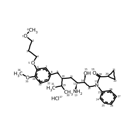 COCCCOc1cc(C[C@@H](C[C@H](N)[C@@H](O)CN(C(=O)C2CC2)c2ccccc2)C(C)C)ccc1OC.Cl